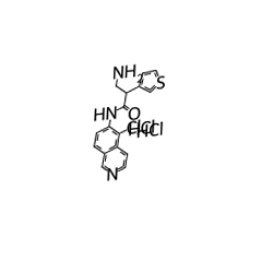 Cl.Cl.NCC(C(=O)Nc1ccc2cnccc2c1Cl)c1ccsc1